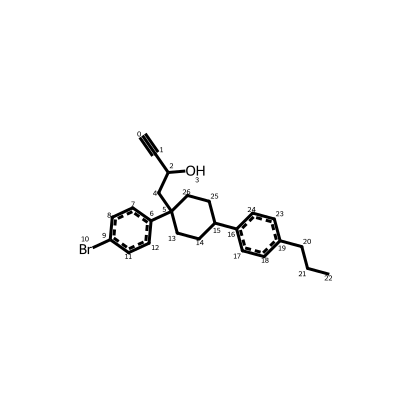 C#CC(O)CC1(c2ccc(Br)cc2)CCC(c2ccc(CCC)cc2)CC1